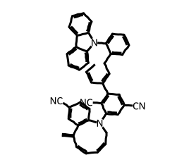 C=C1/C=C\C=C/CN(c2cc(C#N)cc(C(/C=C\C)=C/Cc3ccccc3-n3c4ccccc4c4ccccc43)c2C#N)c2ccc(C#N)cc21